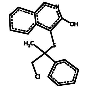 CC(CCl)(Sc1c(O)ncc2ccccc12)c1ccccc1